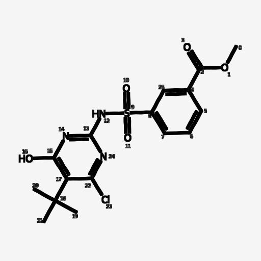 COC(=O)c1cccc(S(=O)(=O)Nc2nc(O)c(C(C)(C)C)c(Cl)n2)c1